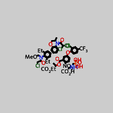 CC1COc2ccccc2N1C(=O)C(Cl)Cl.CCOC(=O)C(C)OC(=O)c1cc(Oc2ccc(C(F)(F)F)cc2Cl)ccc1[N+](=O)[O-].CCc1cccc(CC)c1N(COC)C(=O)CCl.O=C(O)CNCP(=O)(O)O